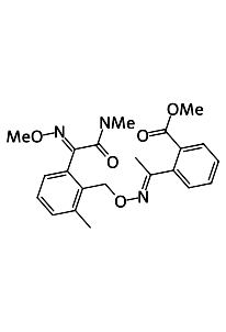 CNC(=O)/C(=N/OC)c1cccc(C)c1CO/N=C(\C)c1ccccc1C(=O)OC